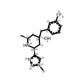 C[C@H]1C[C@@](O)(Cc2cccc(C(F)(F)F)c2)C[C@@H](c2cn(C)nn2)N1